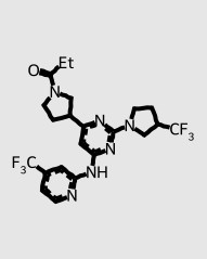 CCC(=O)N1CCC(c2cc(Nc3cc(C(F)(F)F)ccn3)nc(N3CCC(C(F)(F)F)C3)n2)C1